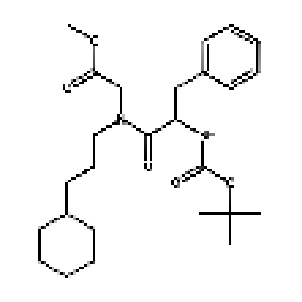 COC(=O)CN(CCCC1CCCCC1)C(=O)C(Cc1ccccc1)NC(=O)OC(C)(C)C